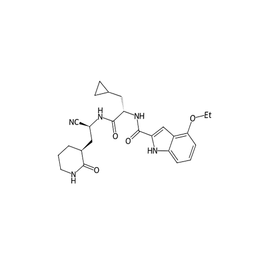 CCOc1cccc2[nH]c(C(=O)N[C@@H](CC3CC3)C(=O)N[C@H](C#N)C[C@@H]3CCCNC3=O)cc12